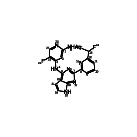 CC(=O)Nc1cc(Nc2nc(-c3cccc(C(F)F)n3)nc3[nH]ccc23)c(F)cn1